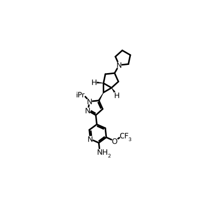 CC(C)n1nc(-c2cnc(N)c(OC(F)(F)F)c2)cc1[C@H]1[C@@H]2CC(N3CCCC3)C[C@@H]21